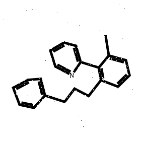 Cc1cc[c]c(CCCc2ccccc2)c1-c1ccccn1